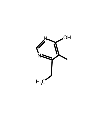 CCc1ncnc(O)c1I